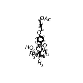 CC(=O)OCC#CCOc1ccc(S(=O)(=O)N2CCSC(C)(C)[C@@]2(C(=O)O)C(C)(C)C)cc1